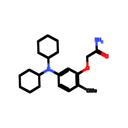 COc1ccc(N(C2CCCCC2)C2CCCCC2)cc1OCC(N)=O